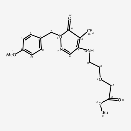 COc1ccc(Cn2ncc(NCCOCC(=O)OC(C)(C)C)c(C(F)(F)F)c2=O)cc1